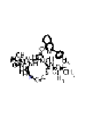 CC(C)(C)OC(=O)N[C@H]1CCCCC/C=C\[C@@H]2C[C@@]2(C(=O)NS(=O)(=O)C2(C)CC2)NC(=O)[C@@H]2C[C@@H](Oc3nc(-c4ccccc4)cc4c3CCCC4)CN2C1=O